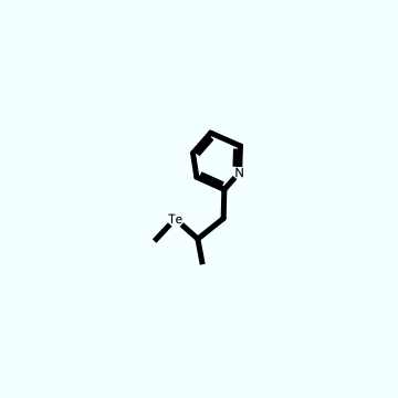 C[Te]C(C)Cc1ccccn1